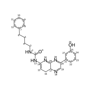 O=C(NCCCCc1ccccc1)NC1=CCC2N=CC(c3cccc(O)c3)=NC2=N1